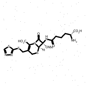 CO[C@@]1(NC(=O)CCC[C@@H](N)C(=O)O)C(=O)N2C(C(=O)O)=C(CSc3nncs3)CS[C@@H]21